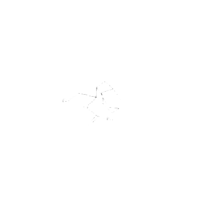 CCC(C)CC1(OC(=O)C(C)CC)C2CC3CC(C2)CC1C3